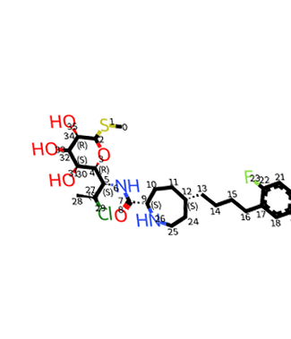 CSC1O[C@H]([C@H](NC(=O)[C@@H]2CC[C@H](CCCCc3ccccc3F)CCN2)[C@H](C)Cl)[C@@H](O)C(O)[C@H]1O